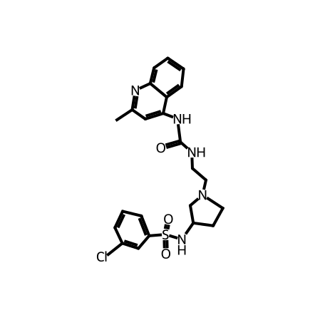 Cc1cc(NC(=O)NCCN2CCC(NS(=O)(=O)c3cccc(Cl)c3)C2)c2ccccc2n1